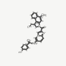 O=C(Nc1ccc2nc(C(=O)N3CC(CCl)c4c3cc(O)c3ccccc43)cn2c1)c1ccc(O)cc1